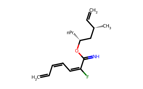 C=C/C=C\C=C(\F)C(=N)O[C@H](CCC)C[C@@H](C)C=C